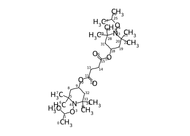 CC(C)ON1C(C)(C)CC(OC(=O)CCC(=O)OC2CC(C)(C)N(OC(C)C)C(C)(C)C2)CC1(C)C